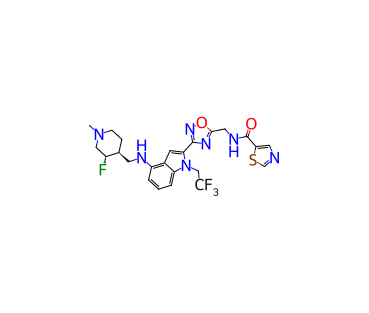 CN1CC[C@@H](CNc2cccc3c2cc(-c2noc(CNC(=O)c4cncs4)n2)n3CC(F)(F)F)[C@@H](F)C1